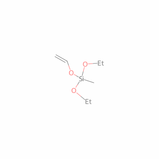 C=CO[Si](C)(OCC)OCC